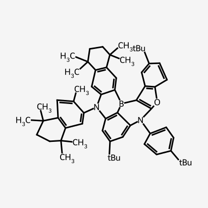 Cc1cc2c(cc1N1c3cc4c(cc3B3c5c1cc(C(C)(C)C)cc5N(c1ccc(C(C)(C)C)cc1)c1oc5ccc(C(C)(C)C)cc5c13)C(C)(C)CCC4(C)C)C(C)(C)CCC2(C)C